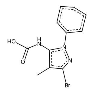 Cc1c(Br)nn(-c2ccccc2)c1NC(=O)O